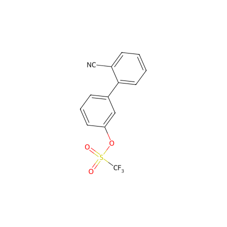 N#Cc1ccccc1-c1cccc(OS(=O)(=O)C(F)(F)F)c1